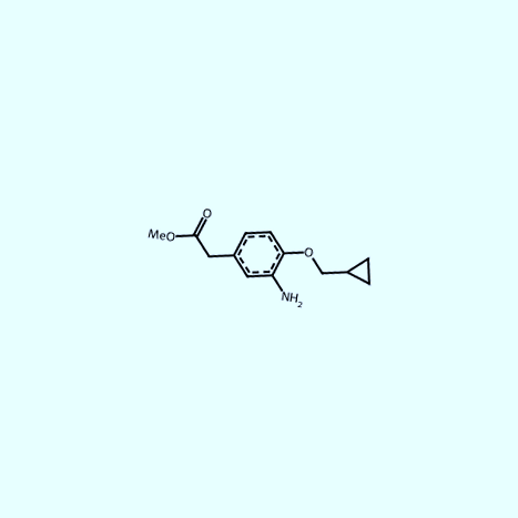 COC(=O)Cc1ccc(OCC2CC2)c(N)c1